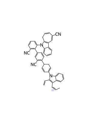 C=Cc1c(/C=C\C)c2ccccc2n1C1=CCC(c2ccc(-c3c(C#N)cccc3-n3c4c(c5ccccc53)C=C(C#N)C=CC4)cc2C#N)C=C1